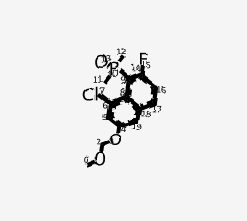 COCOc1cc(Cl)c2c(P(C)(C)=O)c(F)ccc2c1